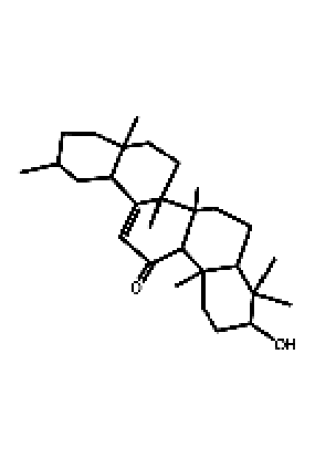 CC1CCC2(C)CCC3(C)C(=CC(=O)C4C5(C)CCC(O)C(C)(C)C5CCC43C)C2C1